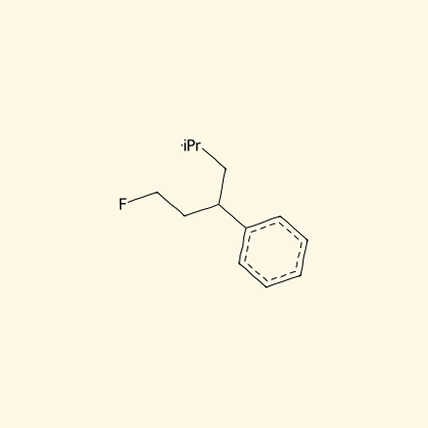 C[C](C)CC(CCF)c1ccccc1